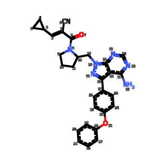 N#CC(=CC1CC1)C(=O)N1CCCC1Cn1nc(-c2ccc(Oc3ccccc3)cc2)c2c(N)ncnc21